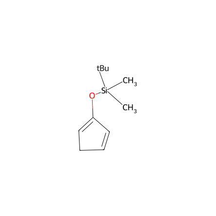 CC(C)(C)[Si](C)(C)OC1=CCC=C1